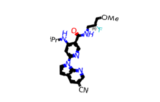 COC[C@H](F)CNC(=O)c1cnc(-n2ccc3cc(C#N)cnc32)cc1NC(C)C